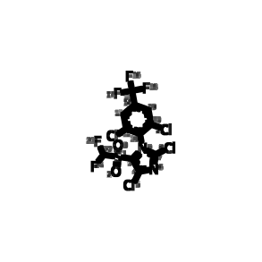 O=S(=O)(c1c(Cl)nc(Cl)n1-c1c(Cl)cc(C(F)(F)F)cc1Cl)C(F)F